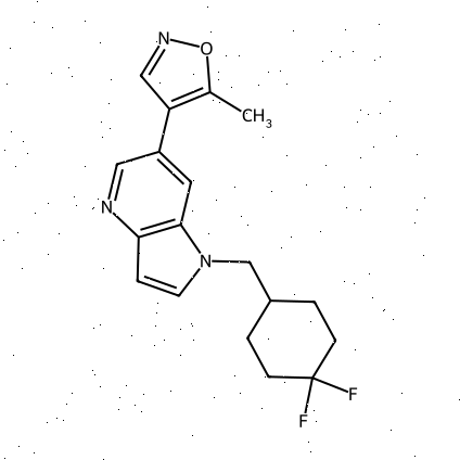 Cc1oncc1-c1cnc2ccn(CC3CCC(F)(F)CC3)c2c1